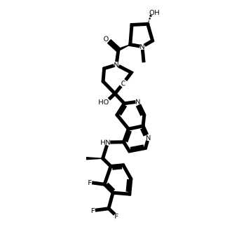 C[C@@H](Nc1ccnc2cnc(C3(O)CCN(C(=O)[C@H]4C[C@H](O)CN4C)CC3)cc12)c1cccc(C(F)F)c1F